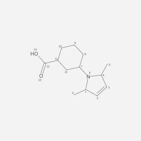 CC1C=CC(C)N1C1CCCC(C(=O)O)C1